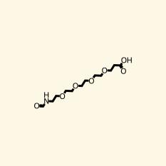 O=CNCCOCCOCCOCCOCCC(=O)O